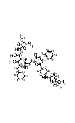 CC(C)S(=O)(=O)NC[C@@H](O)C[C@H](O)[C@H](CC1CCCCC1)NC(=O)CCNC(=O)[C@H](Cc1ccccc1)NC(=O)N1CCC(NC(=O)OC(C)(C)C)CC1